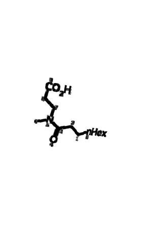 CCCCCCCCC(=O)N(C)CCC(=O)O